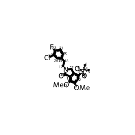 COc1cc(S(=O)(=O)N(C)C)c2c(c1OC)C(=O)N(CCc1ccc(F)c(Cl)c1)C2